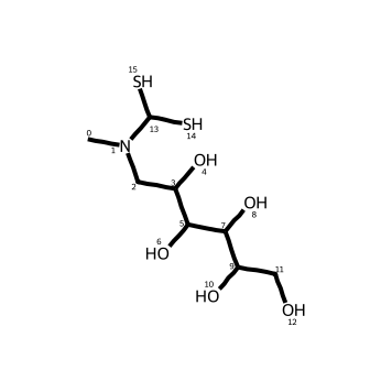 CN(CC(O)C(O)C(O)C(O)CO)C(S)S